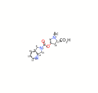 CC(=O)N1C[C@H](OC(=O)N2Cc3cccnc3C2)C[C@H]1C(=O)O